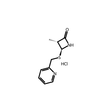 C[C@@H]1C(=O)N[C@H]1SCc1ccccn1.Cl